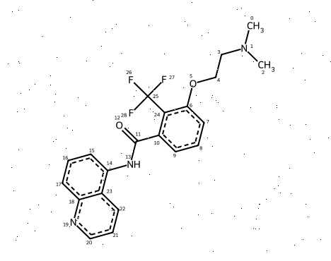 CN(C)CCOc1cccc(C(=O)Nc2cccc3ncccc23)c1C(F)(F)F